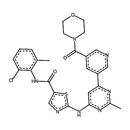 Cc1nc(Nc2ncc(C(=O)Nc3c(C)cccc3Cl)s2)cc(-c2cncc(C(=O)N3CCOCC3)c2)n1